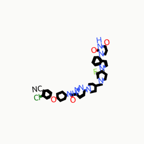 N#Cc1ccc(OC2CCC(NC(=O)c3ccc(N4CCC(CN5CC[C@@H](n6ccc7c(N8CCC(=O)NC8=O)cccc76)[C@@H](F)C5)CC4)nn3)CC2)cc1Cl